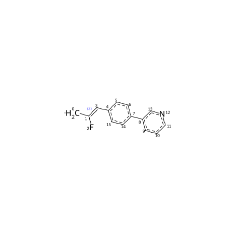 [CH2]/C(F)=C/c1ccc(-c2cccnc2)cc1